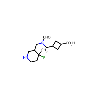 CC1(F)CCNCC1CN(C=O)CC1CC(C(=O)O)C1